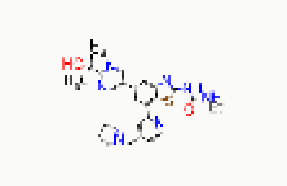 CCNC(=O)Nc1nc2cc(-c3cnc(C(C)(C)O)nc3)cc(-c3cc(CN4CCCC4)ccn3)c2s1